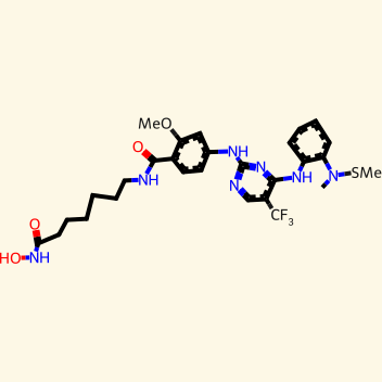 COc1cc(Nc2ncc(C(F)(F)F)c(Nc3ccccc3N(C)SC)n2)ccc1C(=O)NCCCCCCC(=O)NO